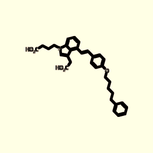 O=C(O)CCCn1cc(CC(=O)O)c2c(C=Cc3ccc(OCCCCCc4ccccc4)cc3)cccc21